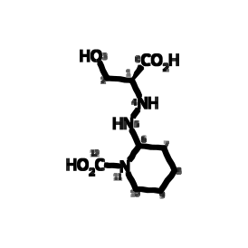 O=C(O)[C@H](CO)NNC1CCCCN1C(=O)O